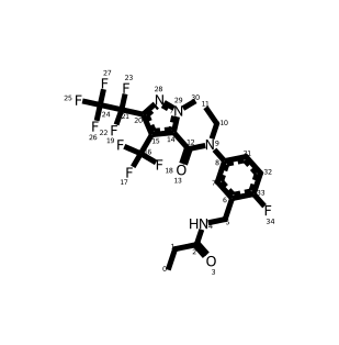 CCC(=O)NCc1cc(N(CC)C(=O)c2c(C(F)(F)F)c(C(F)(F)C(F)(F)F)nn2C)ccc1F